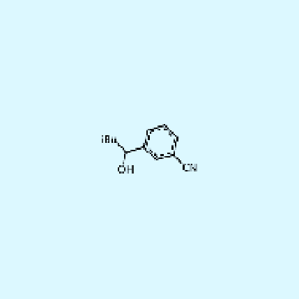 CCC(C)C(O)c1cccc(C#N)c1